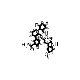 COc1ccc2c(c1)C(CC(O)N[C@@H](Cc1cc(F)cc(F)c1)c1ncccc1-c1ccc(F)c(C(N)=O)c1)C(=O)N2